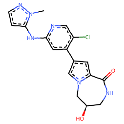 Cn1nccc1Nc1cc(-c2cc3n(c2)C[C@H](O)CNC3=O)c(Cl)cn1